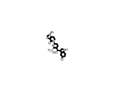 Cc1nc(-n2ccc3c(ncn3C(C)C)c2=O)ccc1C(O)c1c[nH]c2ccc(Cl)cc12